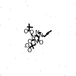 CC#CCn1cnc2c1c(=O)n(CC(C)(C)C(=O)OC)c(=O)n2COC(=O)C(C)(C)C